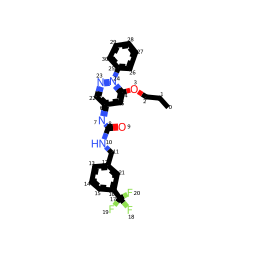 CCCOc1c/c(=N\C(=O)NCc2cccc(C(F)(F)F)c2)cnn1-c1ccccc1